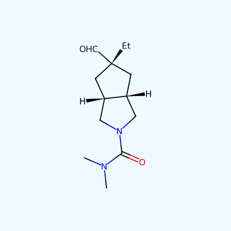 CC[C@]1(C=O)C[C@H]2CN(C(=O)N(C)C)C[C@H]2C1